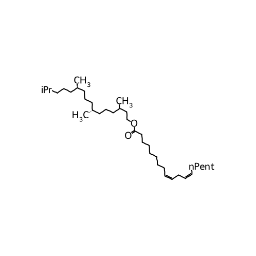 CCCCC/C=C\C/C=C\CCCCCCCC(=O)OCCC(C)CCC[C@H](C)CCC[C@H](C)CCCC(C)C